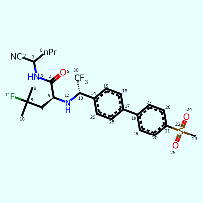 CCCC(C#N)NC(=O)[C@H](CC(C)(C)F)N[C@@H](c1ccc(-c2ccc(S(C)(=O)=O)cc2)cc1)C(F)(F)F